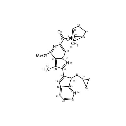 COc1nc(C(=O)N2CC3CCC2[C@@H]3C)cn2nc(-c3cc4cccnc4n3CC3CC3)c(C)c12